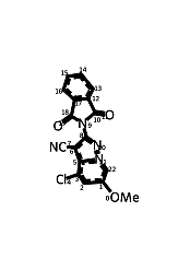 COc1cc(Cl)c2c(C#N)c(N3C(=O)c4ccccc4C3=O)nn2c1